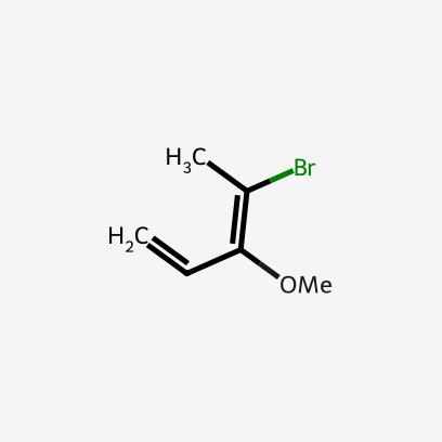 C=C/C(OC)=C(\C)Br